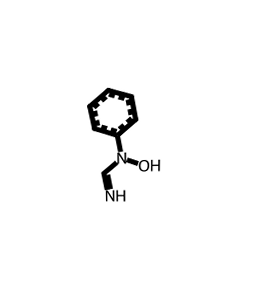 N=CN(O)c1ccccc1